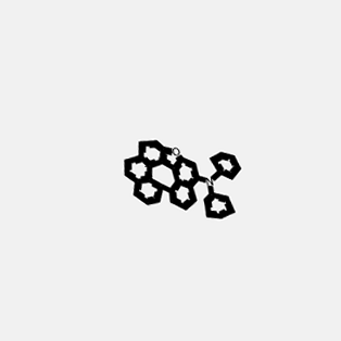 c1ccc(N(c2ccccc2)c2cc3oc4ccc5ccc6cccc7c6c5c4c3c3c-7cccc23)cc1